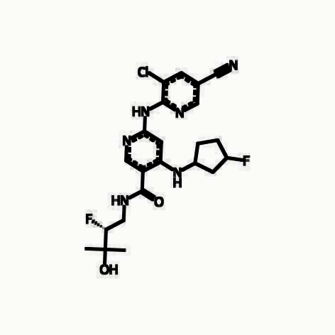 CC(C)(O)[C@H](F)CNC(=O)c1cnc(Nc2ncc(C#N)cc2Cl)cc1NC1CCC(F)C1